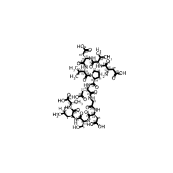 CC(C)C[C@H](NC(=O)[C@H](CO)NC(=O)[C@H](CC(=O)O)NC(=O)CNC(=O)[C@H](CC(=O)O)NC(=O)[C@@H]1CCCN1C(=O)[C@@H](NC(=O)[C@H](CC(=O)O)NC(=O)[C@@H](NC(=O)[C@@H](N)CC(=O)O)C(C)C)C(C)C)C(=O)N[C@@H](C)C(=O)O